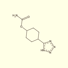 NC(=O)OC1CCC(c2nnn[nH]2)CC1